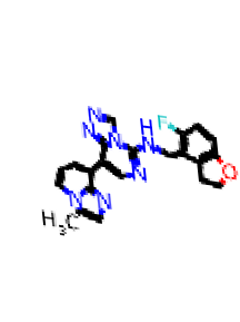 Cc1cnc2c(-c3cnc(NCc4c(F)ccc5c4CCO5)n4cnnc34)cccn12